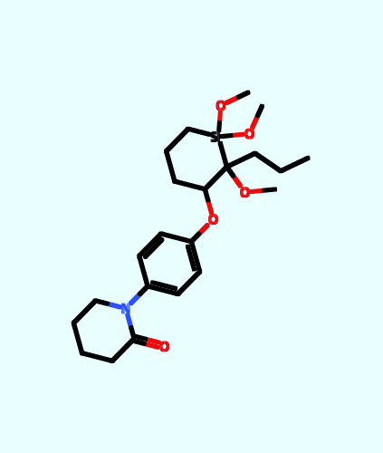 CCCC1(OC)C(Oc2ccc(N3CCCCC3=O)cc2)CCC[Si]1(OC)OC